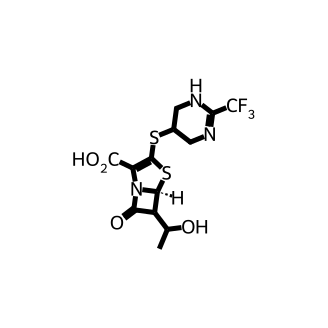 CC(O)C1C(=O)N2C(C(=O)O)=C(SC3CN=C(C(F)(F)F)NC3)S[C@@H]12